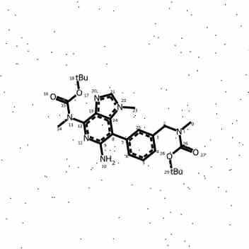 CN(Cc1cccc(-c2c(N)nc(N(C)C(=O)OC(C)(C)C)c3ncn(C)c23)c1)C(=O)OC(C)(C)C